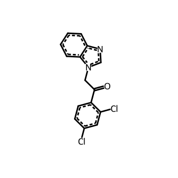 O=C(Cn1cnc2ccccc21)c1ccc(Cl)cc1Cl